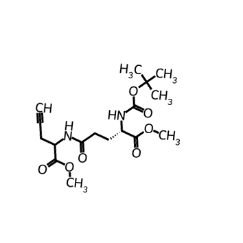 C#CCC(NC(=O)CC[C@H](NC(=O)OC(C)(C)C)C(=O)OC)C(=O)OC